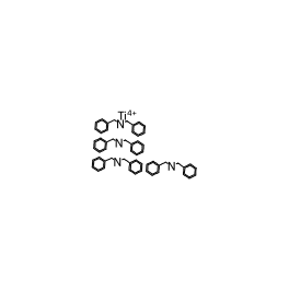 [Ti+4].c1ccc(C[N-]Cc2ccccc2)cc1.c1ccc(C[N-]Cc2ccccc2)cc1.c1ccc(C[N-]Cc2ccccc2)cc1.c1ccc(C[N-]Cc2ccccc2)cc1